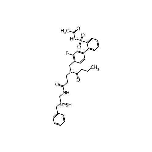 CCCC(=O)N(CCC(=O)NC[C@@H](S)Cc1ccccc1)Cc1ccc(-c2ccccc2S(=O)(=O)NC(C)=O)cc1F